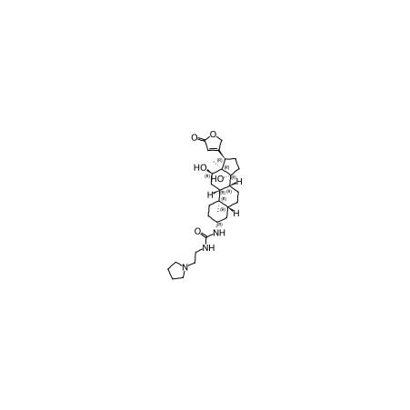 C[C@@]12CC[C@@H](NC(=O)NCCN3CCCC3)C[C@H]1CC[C@@H]1[C@H]2C[C@@H](O)[C@@]2(C)[C@@H](C3=CC(=O)OC3)CC[C@@]12O